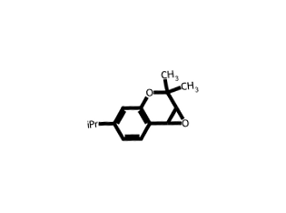 CC(C)c1ccc2c(c1)OC(C)(C)C1OC21